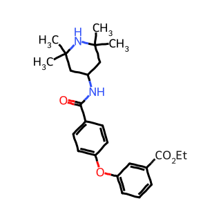 CCOC(=O)c1cccc(Oc2ccc(C(=O)NC3CC(C)(C)NC(C)(C)C3)cc2)c1